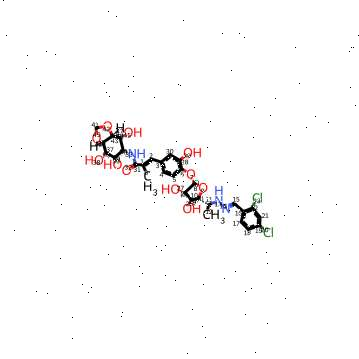 CC(=Cc1ccc(O[C@@H]2O[C@H](C(C)NN=Cc3ccc(Cl)cc3Cl)[C@@H](O)[C@@H]2O)c(O)c1)C(=O)N[C@@H]1[C@H](O)[C@@H](O)[C@H]2OCO[C@H]2[C@@H]1O